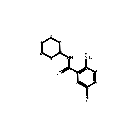 Nc1ccc(Br)cc1C(=O)NC1CCCCC1